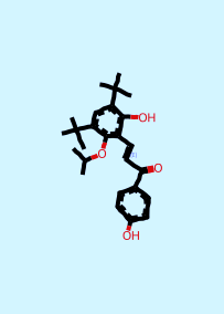 CC(C)Oc1c(C(C)(C)C)cc(C(C)(C)C)c(O)c1/C=C/C(=O)c1ccc(O)cc1